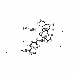 C[C@@H](NC1CCCCC1)C(=O)N1CCC[C@H]1C(=O)NCc1ccc(C(=N)N)cc1.Cl.Cl